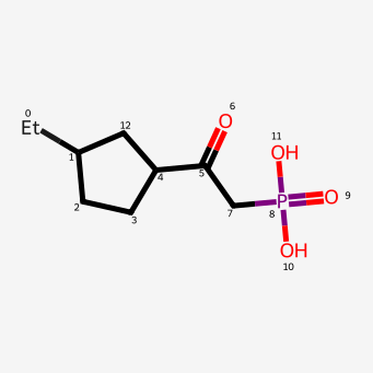 CCC1CCC(C(=O)CP(=O)(O)O)C1